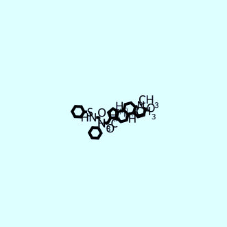 CN1C(=O)C=C[C@@]2(C)C1CC[C@@H]1[C@H]2CC[C@]2(C)C(C(=O)N(C(=O)NSC3CCCCC3)C3CCCCC3)CC[C@@H]12